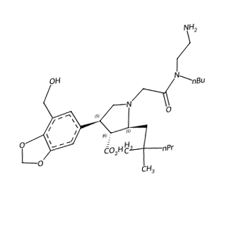 CCCCN(CCN)C(=O)CN1C[C@H](c2cc(CO)c3c(c2)OCO3)[C@@H](C(=O)O)[C@@H]1CC(C)(C)CCC